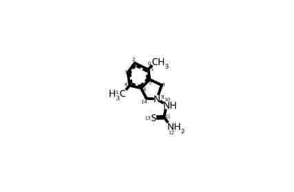 Cc1ccc(C)c2c1CN(NC(N)=S)C2